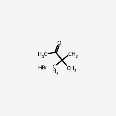 Br.CC(=O)C(C)(C)C